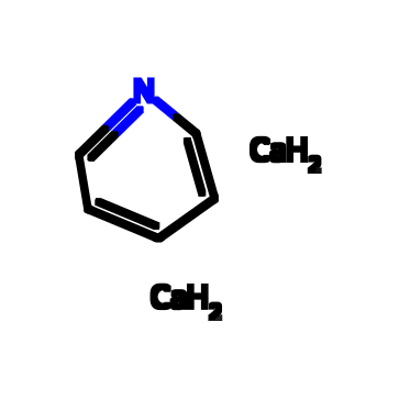 [CaH2].[CaH2].c1ccncc1